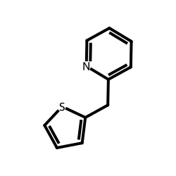 c1ccc(Cc2cccs2)nc1